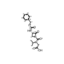 CC(C)N(CC(=O)O)C(=O)N1C[C@H](NC(=O)OCc2ccccc2)C1=O